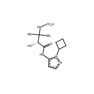 CCCCC(NC(=O)O)([C@@H](O)C(=O)Nc1ccnn1C1CCC1)C(C)(C)C